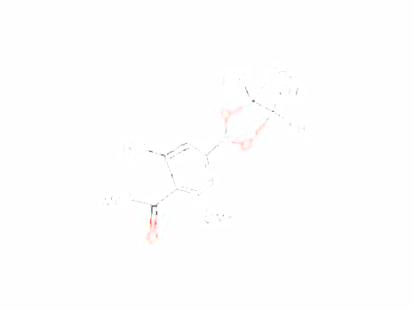 COC(=O)c1c(C)cc(B2OC(C)(C)C(C)(C)O2)cc1OC